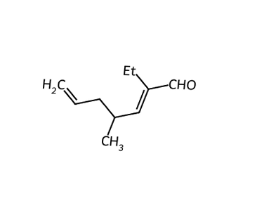 C=CCC(C)C=C(C=O)CC